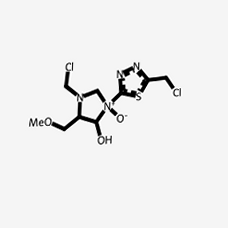 COCC1C(O)[N+]([O-])(c2nnc(CCl)s2)CN1CCl